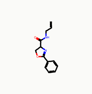 C=CCNC(=O)C1COC(c2ccccc2)=N1